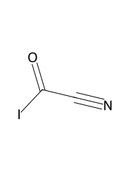 N#CC(=O)I